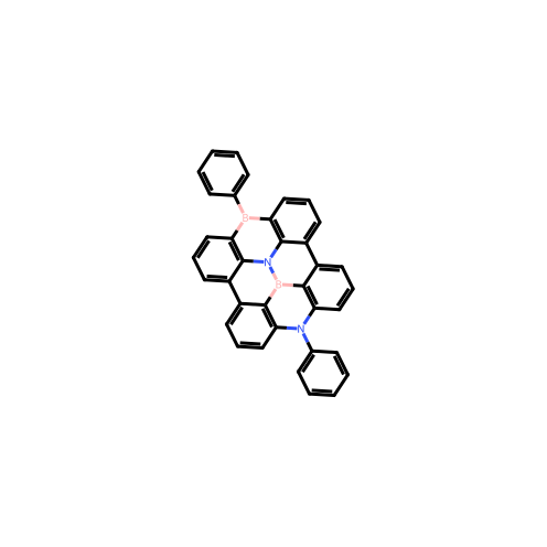 c1ccc(B2c3cccc4c3N3B5c6c-4cccc6N(c4ccccc4)c4cccc(c45)-c4cccc2c43)cc1